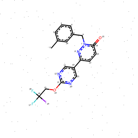 Cc1cccc(Cn2nc(-c3cnc(OCC(F)(F)I)nc3)ccc2=O)c1